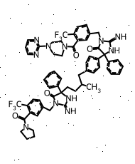 CC(CCC1(c2ccccc2)NC(=N)N(Cc2ccc(C(F)(F)F)c(C(=O)N3CCCC3)c2)C1=O)Cc1ccc(C2(c3ccccc3)NC(=N)N(Cc3ccc(C(F)(F)F)c(C(=O)N4CCN(c5ncccn5)CC4)c3)C2=O)cc1